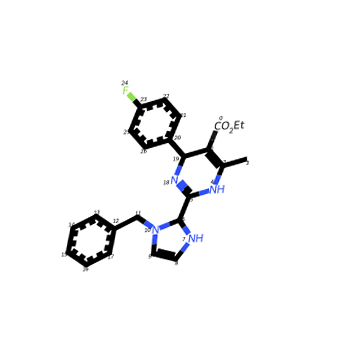 CCOC(=O)C1=C(C)NC(C2NC=CN2Cc2ccccc2)=NC1c1ccc(F)cc1